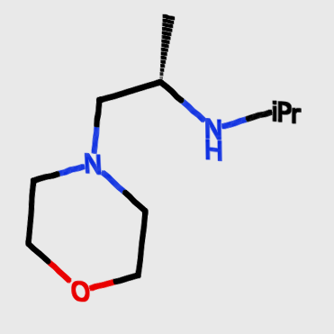 CC(C)N[C@@H](C)CN1CCOCC1